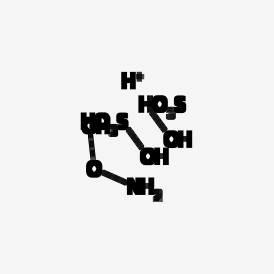 NOO.O=S(=O)(O)O.O=S(=O)(O)O.[H+]